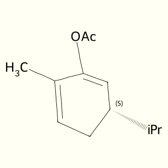 CC(=O)OC1=C[C@H](C(C)C)CC=C1C